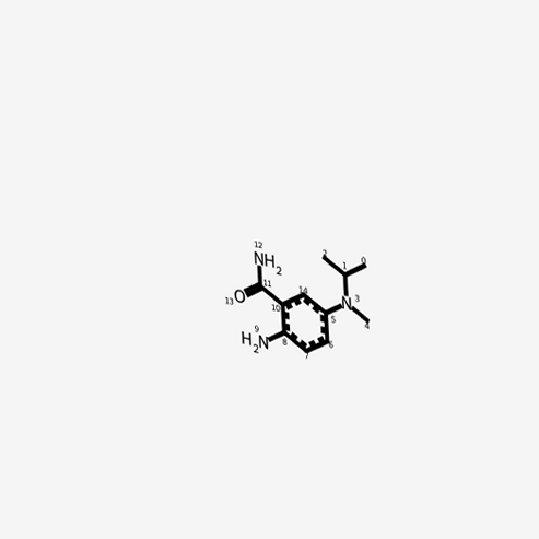 CC(C)N(C)c1ccc(N)c(C(N)=O)c1